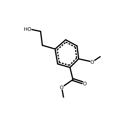 COC(=O)c1cc(CCO)ccc1OC